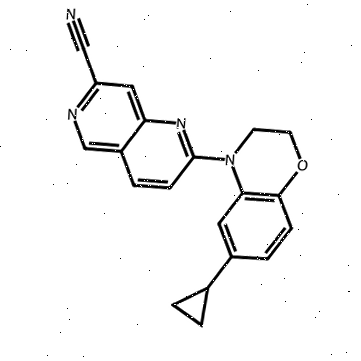 N#Cc1cc2nc(N3CCOc4ccc(C5CC5)cc43)ccc2cn1